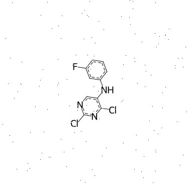 Fc1cccc(Nc2cnc(Cl)nc2Cl)c1